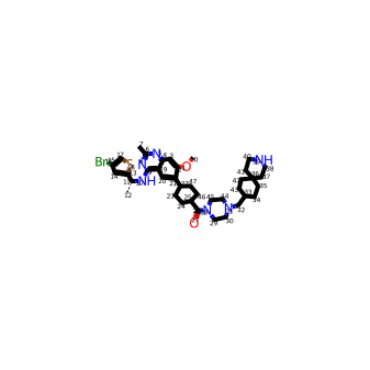 COc1cc2nc(C)nc(N[C@H](C)c3cc(Br)cs3)c2cc1C1CCC(C(=O)N2CCN(CC3CCC4(CCNCC4)CC3)CC2)CC1